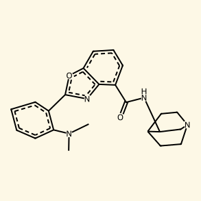 CN(C)c1ccccc1-c1nc2c(C(=O)NC3CN4CCC3CC4)cccc2o1